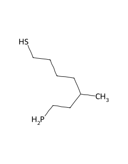 CC(CCP)CCCCS